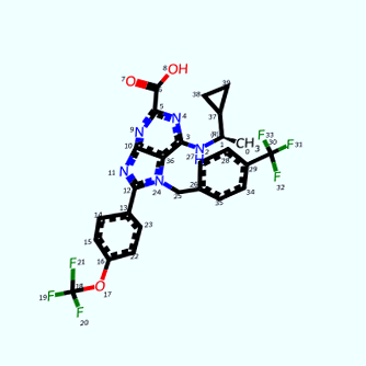 C[C@@H](Nc1nc(C(=O)O)nc2nc(-c3ccc(OC(F)(F)F)cc3)n(Cc3ccc(C(F)(F)F)cc3)c12)C1CC1